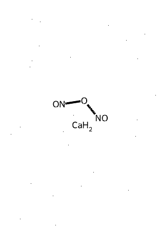 O=NON=O.[CaH2]